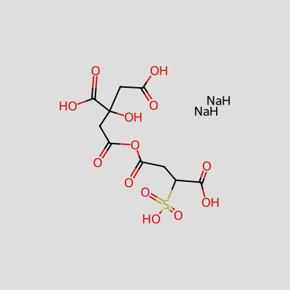 O=C(O)CC(O)(CC(=O)OC(=O)CC(C(=O)O)S(=O)(=O)O)C(=O)O.[NaH].[NaH]